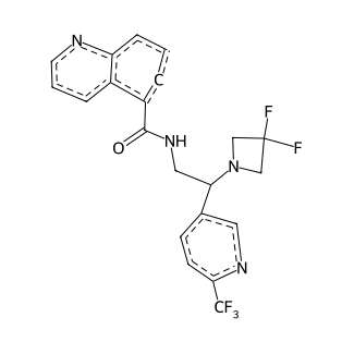 O=C(NCC(c1ccc(C(F)(F)F)nc1)N1CC(F)(F)C1)c1cccc2ncccc12